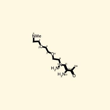 CNCCOCCOCCN(N)/C=C(\N)C(=O)I